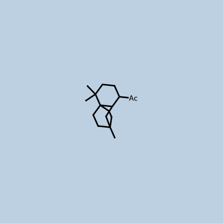 CC(=O)C1CCC(C)(C)C23CCC(C)(CC2)CC13